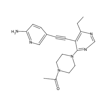 CCc1ncnc(N2CCN(C(C)=O)CC2)c1C#Cc1ccc(N)nc1